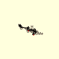 COCc1nc2cccc(C(=O)Nc3ccc(C(=O)N(C)c4ccc(C)cc4OCCCCCC(=O)N4CCN(C)CC4)cc3OC)c2n1Cc1ccccc1